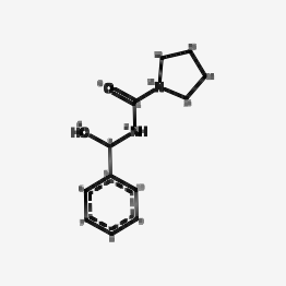 O=C(NC(O)c1ccccc1)N1CCCC1